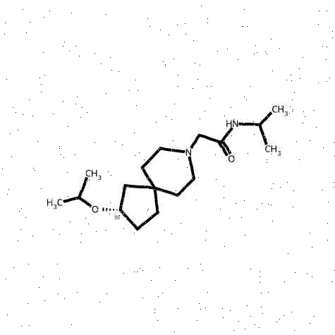 CC(C)NC(=O)CN1CCC2(CC[C@H](OC(C)C)C2)CC1